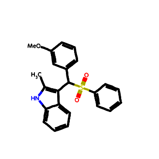 COc1cccc(C(c2c(C)[nH]c3ccccc23)S(=O)(=O)c2ccccc2)c1